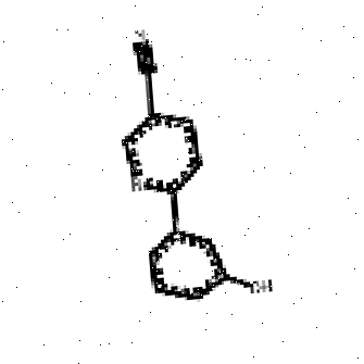 N#Cc1ccc(-c2cccc(O)c2)nc1